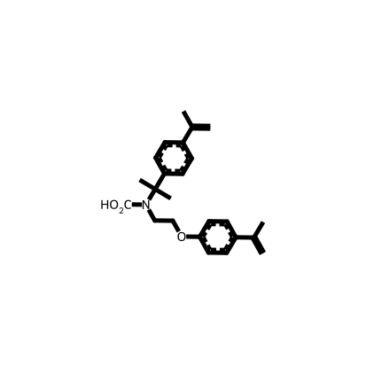 C=C(C)c1ccc(OCCN(C(=O)O)C(C)(C)c2ccc(C(=C)C)cc2)cc1